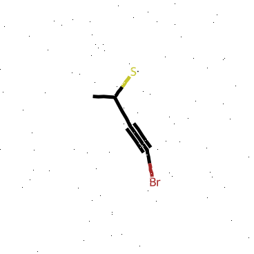 CC([S])C#CBr